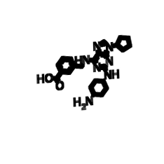 N[C@H]1CC[C@H](Nc2nc(NCc3cccc(C(=O)O)c3)c3ncn(C4CCCC4)c3n2)CC1